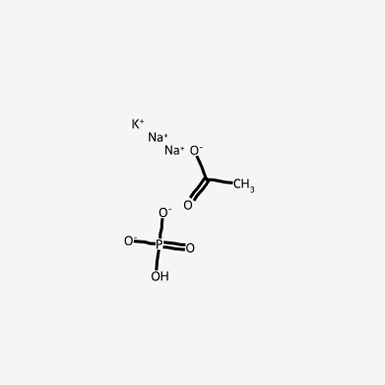 CC(=O)[O-].O=P([O-])([O-])O.[K+].[Na+].[Na+]